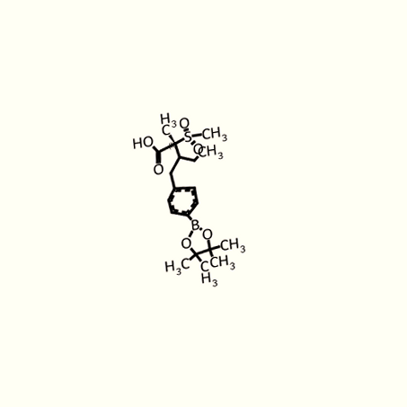 CCC(Cc1ccc(B2OC(C)(C)C(C)(C)O2)cc1)[C@](C)(C(=O)O)S(C)(=O)=O